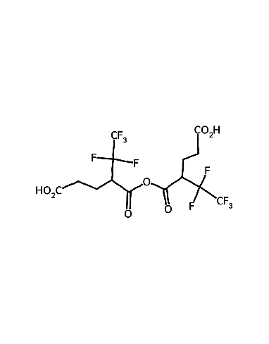 O=C(O)CCC(C(=O)OC(=O)C(CCC(=O)O)C(F)(F)C(F)(F)F)C(F)(F)C(F)(F)F